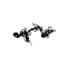 CS(=O)(=O)n1ccc(C(=O)N[C@@H](CCCCNC(=O)C2CC2CNC(=O)COc2cccc3c2C(=O)N(C2CCC(=O)NC2=O)C3=O)C(=O)Nc2nc(-c3ccccc3)cs2)c1